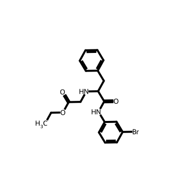 CCOC(=O)CNC(Cc1ccccc1)C(=O)Nc1cccc(Br)c1